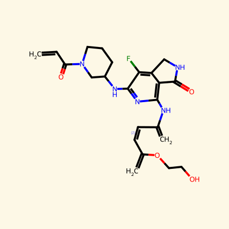 C=CC(=O)N1CCCC(Nc2nc(NC(=C)/C=C\C(=C)OCCO)c3c(c2F)CNC3=O)C1